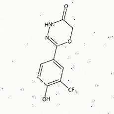 O=C1COC(c2ccc(O)c(C(F)(F)F)c2)=NN1